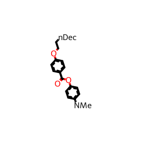 CCCCCCCCCCCCOc1ccc(C(=O)Oc2ccc(NC)cc2)cc1